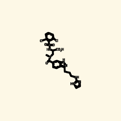 CN(CC(NS(=O)(=O)c1c(Cl)cccc1Cl)C(=O)O)C(=O)c1ccc2c(CCCNc3ncc[nH]3)n[nH]c2c1